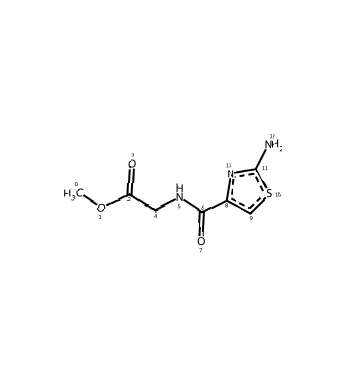 COC(=O)CNC(=O)c1csc(N)n1